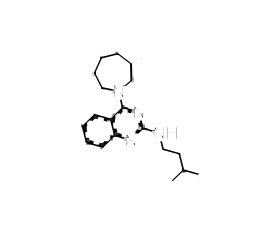 CC(C)CCNc1nc(N2CCCCCC2)c2ccccc2n1